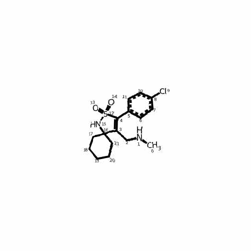 CNCC1=C(c2ccc(Cl)cc2)S(=O)(=O)NC12CCCCC2